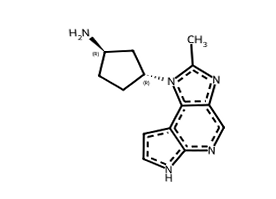 Cc1nc2cnc3[nH]ccc3c2n1[C@@H]1CC[C@@H](N)C1